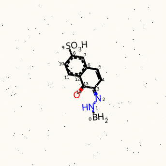 BN/N=C1/C=Cc2cc(S(=O)(=O)O)ccc2C1=O